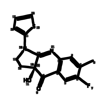 Cc1cc2c(cc1F)C(=O)[C@]1(O)CCN(c3cccs3)C1=N2